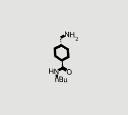 CCCCNC(=O)[C@H]1CC[C@H](CN)CC1